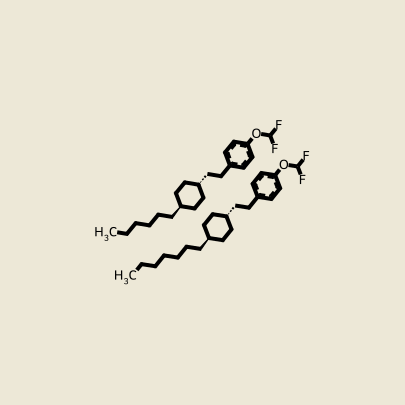 CCCCCCC[C@H]1CC[C@H](CCc2ccc(OC(F)F)cc2)CC1.CCCCCC[C@H]1CC[C@H](CCc2ccc(OC(F)F)cc2)CC1